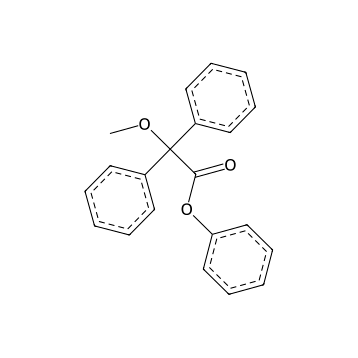 COC(C(=O)Oc1ccccc1)(c1ccccc1)c1ccccc1